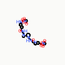 O=C(Cc1ccc2cc(C(=O)ON3C(=O)CCC3=O)ccc2n1)NCCN1\C=C/C=C\C=C(\C2CCCN2CCNC(=O)c2ccc3cc(NC(=O)ON4C(=O)CCC4=O)ccc3c2)C1